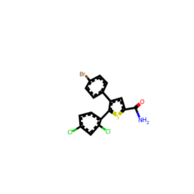 NC(=O)c1cc(-c2ccc(Br)cc2)c(-c2ccc(Cl)cc2Cl)s1